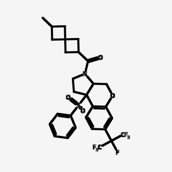 CC1CC2(C1)CC(C(=O)N1CCC3(S(=O)(=O)c4ccccc4)c4ccc(C(F)(C(F)(F)F)C(F)(F)F)cc4OCC13)C2